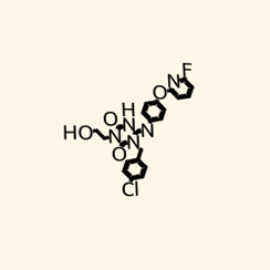 O=c1[nH]/c(=N\c2ccc(Oc3cccc(F)n3)cc2)n(Cc2ccc(Cl)cc2)c(=O)n1CCO